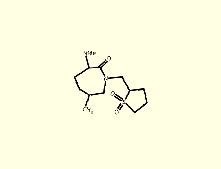 CNC1CCC(C)CN(CC2CCCS2(=O)=O)C1=O